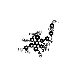 COc1ccc(S(=O)(=O)c2ccc(Oc3ccc(-c4ccc(-c5c(-c6ccc(S(=O)(=O)O)c(S(=O)(=O)O)c6)c(-c6cccc(SOOO)c6)c(-c6ccc(-c7ccc(C)c(C)c7)cc6)c(-c6cccc(SOOO)c6)c5-c5ccc(S(=O)(=O)O)c(S(=O)(=O)O)c5)cc4)cc3C(F)(F)F)cc2)cc1